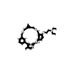 CCN(CC)CCOc1ccc2cc1COCC1CC1COCc1cccc(c1)-c1nc(ncc1C)N2